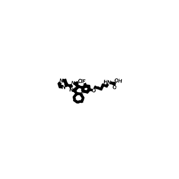 O=C(O)NCCCCOc1cc(F)c(-c2c(Cl)nc(-c3cnccn3)nc2C2CCCCCC2)c(F)c1